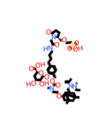 C=C(C)N(CC12CC3(C)CC(C)(C1)CC(OCCN(C)C(=O)OCc1ccc(CCCCNC(=O)CN4C(=O)CC[C@H]4COCCS(=O)(=O)O)cc1O[C@@H]1O[C@H](C(=O)O)C[C@H](O)[C@H]1O)(C3)C2)N(C)CC